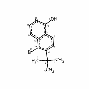 CC(C)(C)c1ccc2c(O)nccc2c1Br